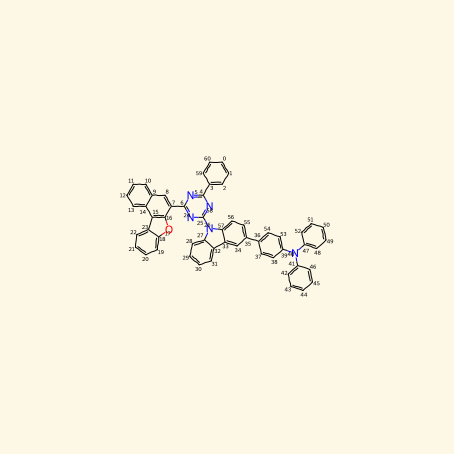 c1ccc(-c2nc(-c3cc4ccccc4c4c3oc3ccccc34)nc(-n3c4ccccc4c4cc(-c5ccc(N(c6ccccc6)c6ccccc6)cc5)ccc43)n2)cc1